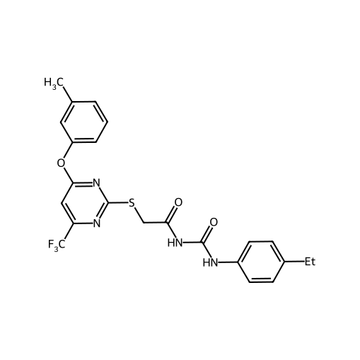 CCc1ccc(NC(=O)NC(=O)CSc2nc(Oc3cccc(C)c3)cc(C(F)(F)F)n2)cc1